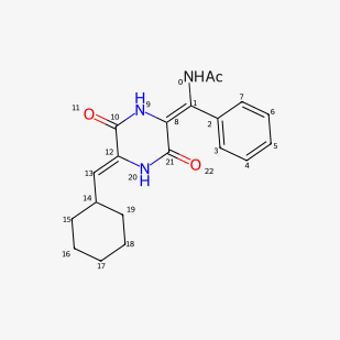 CC(=O)NC(c1ccccc1)=c1[nH]c(=O)c(=CC2CCCCC2)[nH]c1=O